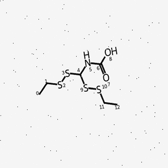 CCSSC(NC(=O)O)SSCC